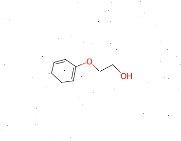 OCCOC1=CC[CH]C=C1